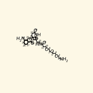 NCCOCCOCCOCCC(=O)NCCCCC1(N2Cc3c(N)cccc3C2=O)CCC(=O)NC1=O